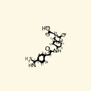 N=C(N)c1ccc(CC(=O)NC2CCC3(CC2)CN(CC(=O)O)C(=O)O3)cc1